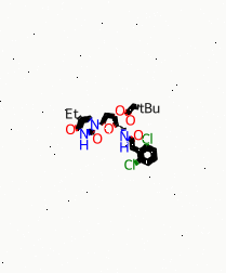 CCc1cn([C@@H]2CC(OC(=O)CC(C)(C)C)[C@H](CNC(=O)Cc3c(Cl)cccc3Cl)O2)c(=O)[nH]c1=O